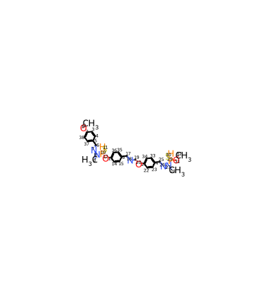 COc1ccc(/C=N/N(C)[PH](=S)Oc2ccc(C=NCOc3ccc(/C=N/N(C)[PH](=S)OC)cc3)cc2)cc1